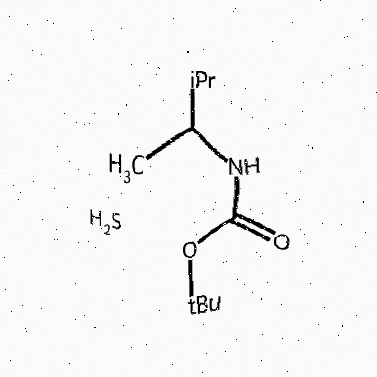 CC(C)C(C)NC(=O)OC(C)(C)C.S